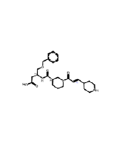 O=C(O)C[C@@H](COCc1ccccc1)NC(=O)[C@@H]1CCCN(C(=O)/C=C/C2CCNCC2)C1